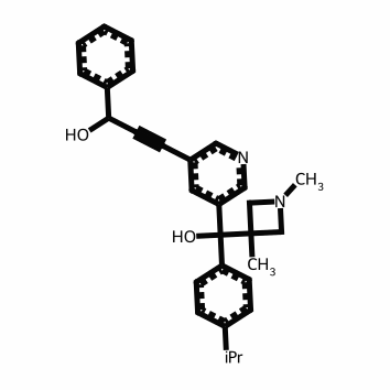 CC(C)c1ccc(C(O)(c2cncc(C#CC(O)c3ccccc3)c2)C2(C)CN(C)C2)cc1